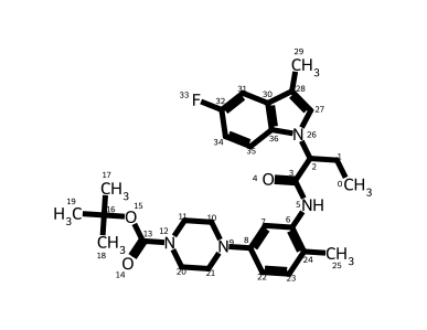 CCC(C(=O)Nc1cc(N2CCN(C(=O)OC(C)(C)C)CC2)ccc1C)n1cc(C)c2cc(F)ccc21